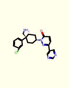 NC[C@]1(c2cccc(Cl)c2)CC[C@H](n2nc(-c3cncnc3)ccc2=O)CC1